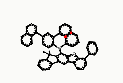 CC1(C)c2ccccc2-c2cc3c(oc4c(-c5ccccc5)cccc43)c(N(c3ccccc3)c3ccc(-c4cccc5ccccc45)cc3-c3ccccc3)c21